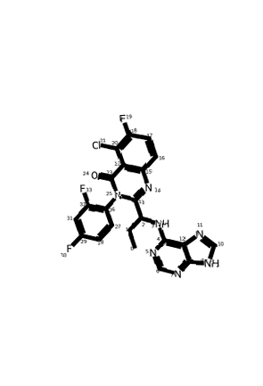 CCC(Nc1ncnc2[nH]cnc12)c1nc2ccc(F)c(Cl)c2c(=O)n1-c1ccc(F)cc1F